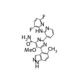 COc1c(C(N)=O)nc(-c2cccnc2Nc2nc(F)ccc2F)nc1-c1c(C)ccc2[nH]ncc12